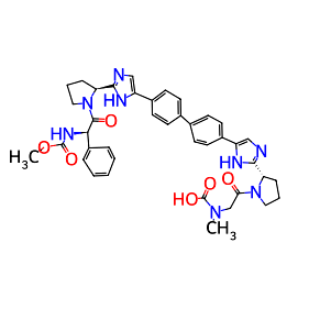 COC(=O)N[C@@H](C(=O)N1CCC[C@H]1c1ncc(-c2ccc(-c3ccc(-c4cnc([C@@H]5CCCN5C(=O)CN(C)C(=O)O)[nH]4)cc3)cc2)[nH]1)c1ccccc1